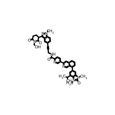 CC(C)c1cc(-c2cccc3cc(-c4ccc(C(=O)NCC#Cc5ccc6c(c5)c(C5CCC(=O)N(CO)C5=O)nn6C)nc4)ncc23)cc2c1n(C)c(=O)n2C